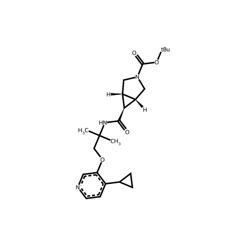 CC(C)(COc1cnccc1C1CC1)NC(=O)[C@H]1[C@@H]2CN(C(=O)OC(C)(C)C)C[C@@H]21